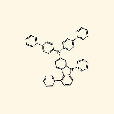 c1ccc(-c2ccc(N(c3ccc(-c4ccccc4)cc3)c3ccc4c5c(-c6ccccc6)cccc5n(-c5ccccc5)c4c3)cc2)cc1